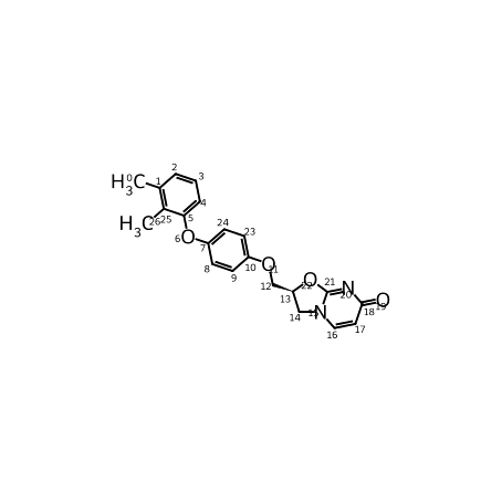 Cc1cccc(Oc2ccc(OC[C@@H]3Cn4ccc(=O)nc4O3)cc2)c1C